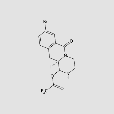 O=C1c2cc(Br)ccc2C[C@@H]2C(OC(=O)C(F)(F)F)NCCN12